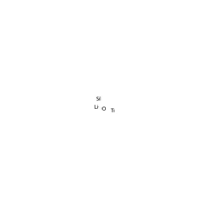 [Li].[O].[Si].[Ti]